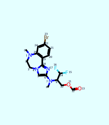 CN1CCn2cc(N(C)C(COC=O)C(F)F)nc2-c2ccc(Br)cc21